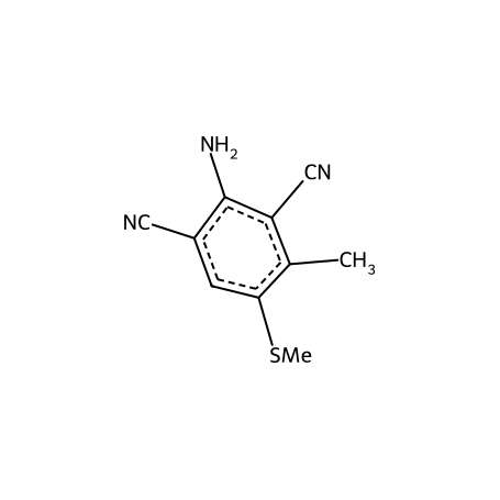 CSc1cc(C#N)c(N)c(C#N)c1C